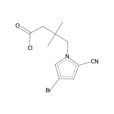 CC(C)(CC(=O)Cl)Cn1cc(Br)cc1C#N